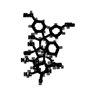 COc1ccc(C(c2ccccc2)(c2ccc(OC)cc2)C(O)[C@H]2O[C@@](CC[N+](=O)[O-])(n3cc(C)c(=O)[nH]c3=O)C([SiH](C)C)[C@@]2(O)C(C)(C)C)cc1